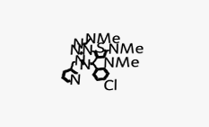 CNc1sc2c(c1NC)C(c1ccc(Cl)cc1)=NN(Cc1cccnc1)c1nnc(NC)n1-2